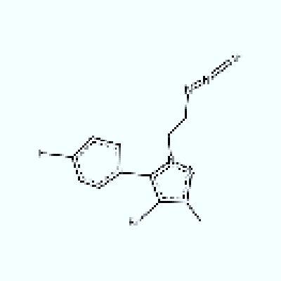 Cc1nn(CCN=[N+]=[N-])c(-c2ccc(F)cc2)c1Br